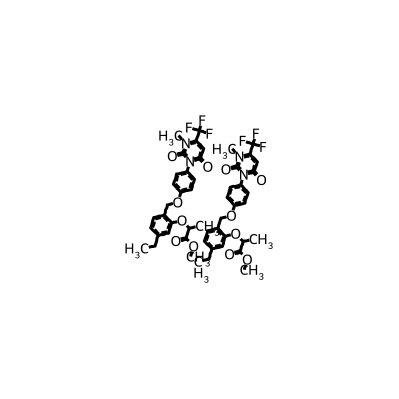 CCc1ccc(COc2ccc(-n3c(=O)cc(C(F)(F)F)n(C)c3=O)cc2)c(OC(C)C(=O)OC)c1.CCc1ccc(COc2ccc(-n3c(=O)cc(C(F)(F)F)n(C)c3=O)cc2)c(OC(C)C(=O)OC)c1